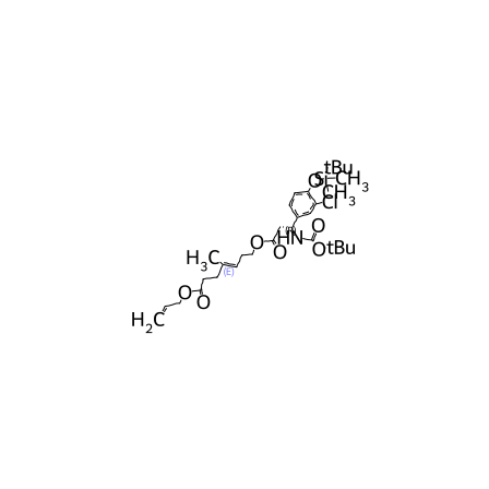 C=CCOC(=O)CC/C(C)=C/CCOC(=O)C[C@@H](NC(=O)OC(C)(C)C)c1ccc(O[Si](C)(C)C(C)(C)C)c(Cl)c1